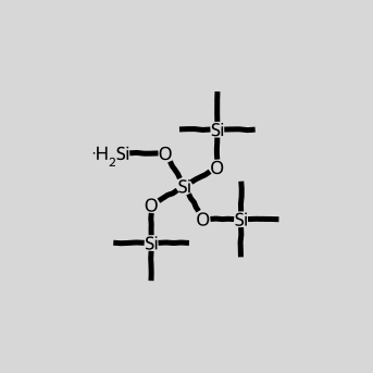 C[Si](C)(C)O[Si](O[SiH2])(O[Si](C)(C)C)O[Si](C)(C)C